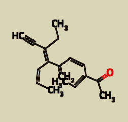 C#C/C(CC)=C(\C=C/C)C(=C)/C=C\C(=C/C)C(C)=O